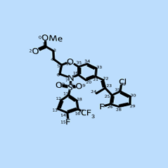 COC(=O)CCC1CN(S(=O)(=O)c2ccc(F)c(C(F)(F)F)c2)c2cc(C=C(C)c3c(F)cccc3Cl)ccc2O1